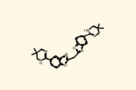 CC1(C)CN=C(c2ccc3oc(Cc4nc5cc(C6=NCC(C)(C)CN6)ccc5o4)nc3c2)NC1